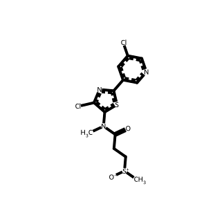 CN(C(=O)CC[S+](C)[O-])c1sc(-c2cncc(Cl)c2)nc1Cl